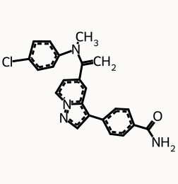 C=C(c1ccn2ncc(-c3ccc(C(N)=O)cc3)c2c1)N(C)c1ccc(Cl)cc1